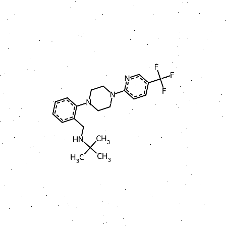 CC(C)(C)NCc1ccccc1N1CCN(c2ccc(C(F)(F)F)cn2)CC1